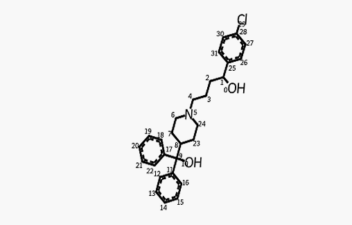 OC(CCCN1CCC(C(O)(c2ccccc2)c2ccccc2)CC1)c1ccc(Cl)cc1